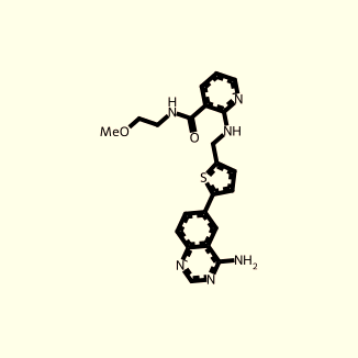 COCCNC(=O)c1cccnc1NCc1ccc(-c2ccc3ncnc(N)c3c2)s1